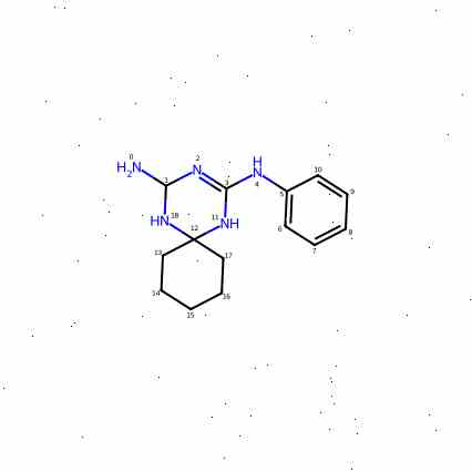 NC1N=C(Nc2ccccc2)NC2(CCCCC2)N1